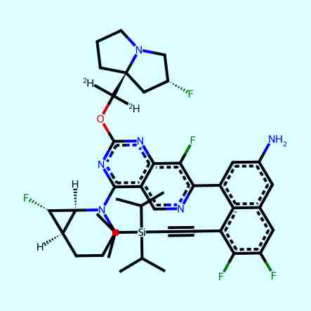 [2H]C([2H])(Oc1nc(N2CCC[C@H]3[C@H](F)[C@H]32)c2cnc(-c3cc(N)cc4cc(F)c(F)c(C#C[Si](C(C)C)(C(C)C)C(C)C)c34)c(F)c2n1)[C@@]12CCCN1C[C@H](F)C2